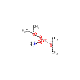 C=CCCCCCC(CCCCCC=C)OC(=O)CCCCCC(=O)OCC(COC(=O)CCCCCC(=O)OC(CCCCCC=C)CCCCCC=C)COC(=O)OCCCN(C)C